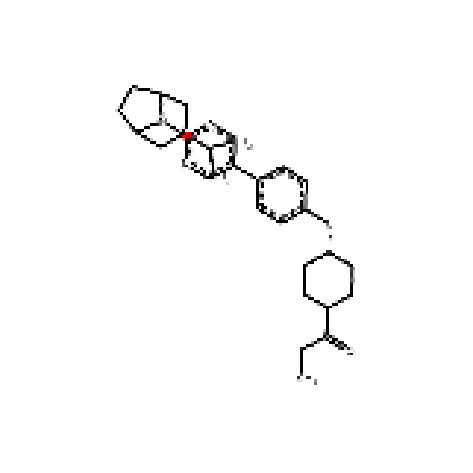 CCC(=O)[C@H]1CC[C@H](Cc2ccc(-c3cnc(N4C5CCC4CN(C(C)C)C5)nc3)cc2)CC1